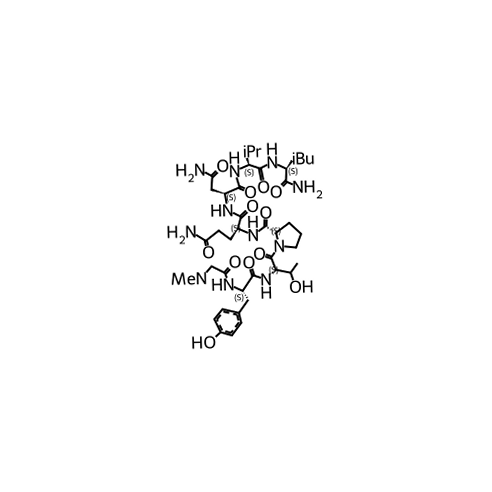 CCC(C)[C@H](NC(=O)[C@@H](NC(=O)[C@H](CC(N)=O)NC(=O)[C@H](CCC(N)=O)NC(=O)[C@@H]1CCCN1C(=O)[C@@H](NC(=O)[C@H](Cc1ccc(O)cc1)NC(=O)CNC)C(C)O)C(C)C)C(N)=O